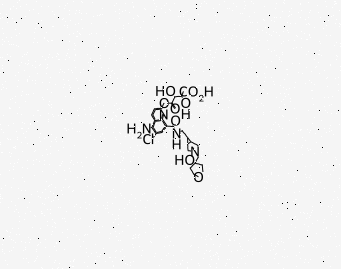 Nc1c(Cl)cc(C(=O)NCC2C3CN(CC4(O)CCOCC4)CC23)c2nc(OC(=O)C(O)C(O)C(=O)O)ccc12